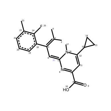 CC(C)=C(/C=C1/N=C(C(=O)O)C=C(C2CC2)N1C)c1cccc(C)c1F